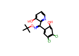 CC(C)(C)ON=C(c1cc(Cl)c(Cl)cc1O)c1ncccc1O